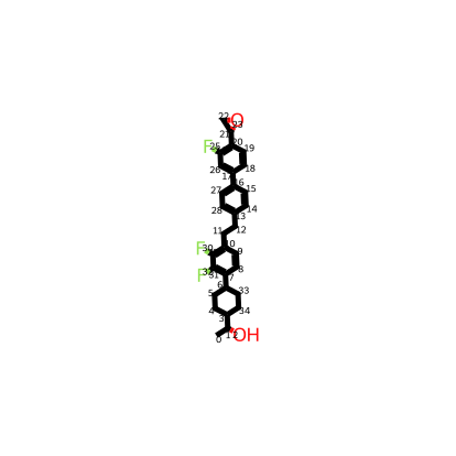 CC(O)C1CCC(c2ccc(CCc3ccc(-c4ccc(C5CO5)c(F)c4)cc3)c(F)c2F)CC1